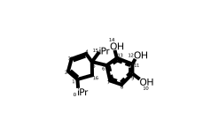 CC(C)C1=CC=CC(c2ccc(O)c(O)c2O)(C(C)C)C1